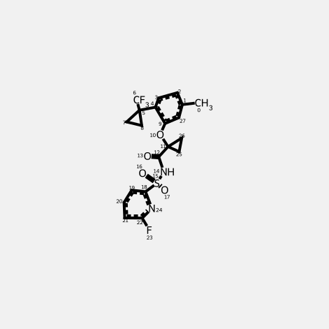 Cc1ccc(C2(C(F)(F)F)CC2)c(OC2(C(=O)NS(=O)(=O)c3cccc(F)n3)CC2)c1